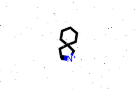 C1#[N+]CC2(C1)CCCCC2